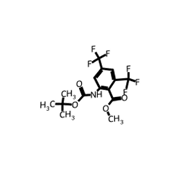 COC(=O)c1c(NC(=O)OC(C)(C)C)cc(C(F)(F)F)cc1C(F)(F)F